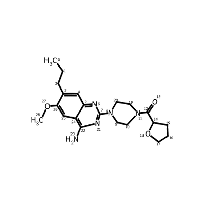 CCCc1cc2nc(N3CCN(C(=O)C4CCCO4)CC3)nc(N)c2cc1OC